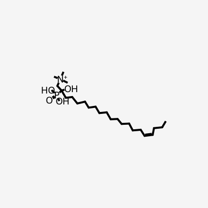 CCC/C=C\CCCCCCCCCCCCCCC(O)(C[N+](C)(C)C)P(=O)(O)O